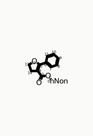 CCCCCCCCCOC(=O)C1=C(c2ccccc2)OCC1